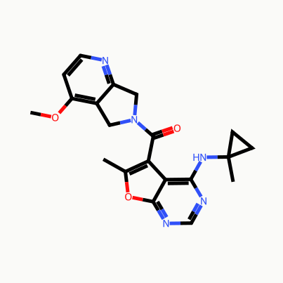 COc1ccnc2c1CN(C(=O)c1c(C)oc3ncnc(NC4(C)CC4)c13)C2